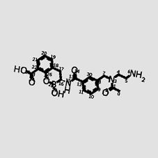 CC(=O)N(CCN)Cc1cccc(C(=O)N[C@H]2Cc3cccc(C(=O)O)c3OB2O)c1